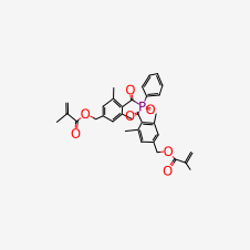 C=C(C)C(=O)OCc1cc(C)c(C(=O)P(=O)(C(=O)c2c(C)cc(COC(=O)C(=C)C)cc2C)c2ccccc2)c(C)c1